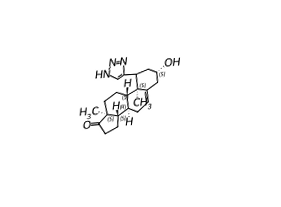 C[C@]12CC[C@H]3[C@@H](CC=C4C[C@@H](O)CC(c5c[nH]nn5)[C@@]43C)[C@@H]1CCC2=O